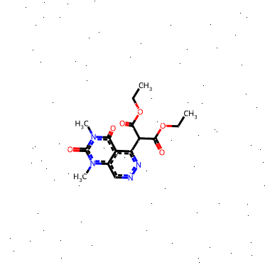 CCOC(=O)C(C(=O)OCC)c1nncc2c1c(=O)n(C)c(=O)n2C